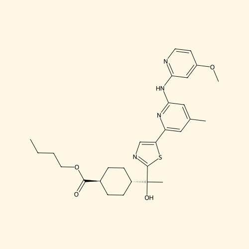 CCCCOC(=O)[C@H]1CC[C@H](C(C)(O)c2ncc(-c3cc(C)cc(Nc4cc(OC)ccn4)n3)s2)CC1